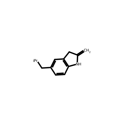 C=C1Cc2cc(CC(C)C)ccc2N1